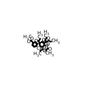 CCC(=O)[C@H]1C[C@@](C(=O)CC)(c2cc(C(=O)OC)ccc2C)C[C@@H]2[C@H]1N(C(=O)CC)OC2(C(=O)CC)C(=O)CC